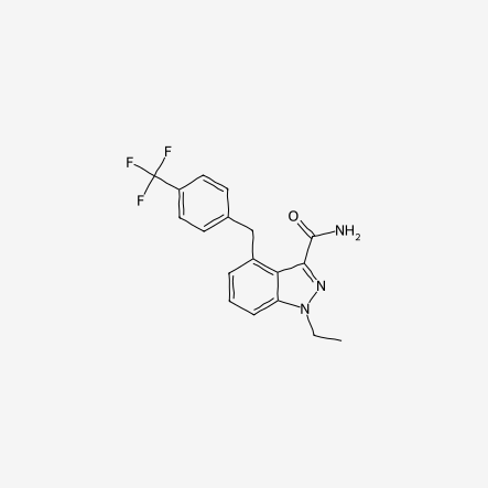 CCn1nc(C(N)=O)c2c(Cc3ccc(C(F)(F)F)cc3)cccc21